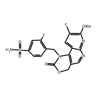 COc1nc2ncc3c(c2cc1F)N(Cc1ccc(S(N)(=O)=O)cc1F)C(=O)OC3